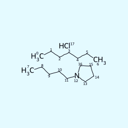 CCCCCCC.CCCCCN1CCCC1.Cl